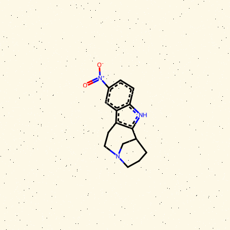 O=[N+]([O-])c1ccc2[nH]c3c(c2c1)CCN1CCCC3C1